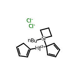 CCCC[Si]1([C]2([Hf+2][C]3=CC=CC3)C=CC=C2)CCC1.[Cl-].[Cl-]